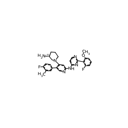 COc1cccc(F)c1-c1nccc(Nc2cc(N3CCC[C@H](N)C3)c(-c3ccc(F)c(C)c3)cn2)n1